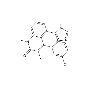 Cc1c(-c2cccc(Cl)c2)c2c(-c3cnc[nH]3)cccc2n(C)c1=O